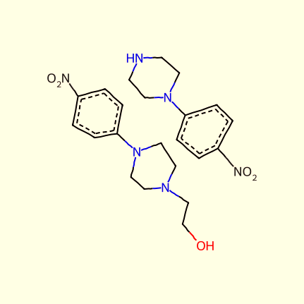 O=[N+]([O-])c1ccc(N2CCN(CCO)CC2)cc1.O=[N+]([O-])c1ccc(N2CCNCC2)cc1